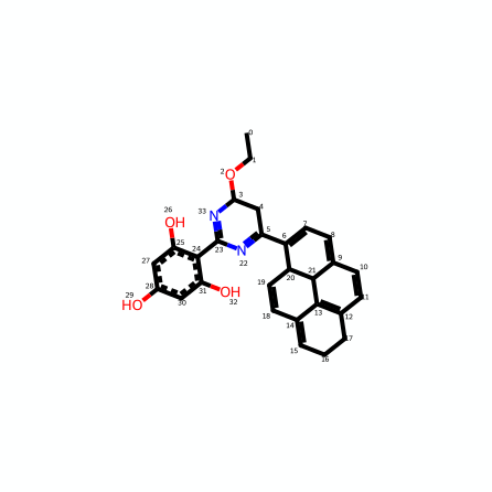 CCOC1CC(C2=CC=C3C=CC4=C5C(=CCC4)C=CC2C35)=NC(c2c(O)cc(O)cc2O)=N1